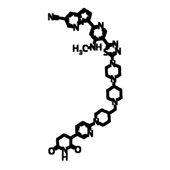 CNc1cc(-c2ccc3cc(C#N)cnn23)ncc1-c1nnc(N2CCN(C3CCN(CC4CCN(c5ccc(C6CCC(=O)NC6=O)cn5)CC4)CC3)CC2)s1